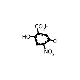 O=C(O)c1cc(Cl)c([N+](=O)[O-])cc1O